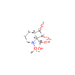 CON1CCCC2C(=O)C(=O)C21C(=O)O